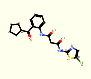 O=C(CC(=O)Nc1ccccc1C(=O)C1CCCC1)Nc1ncc(Cl)s1